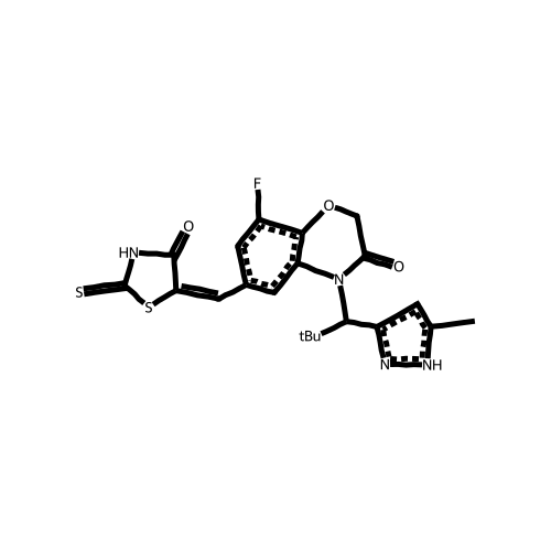 Cc1cc(C(N2C(=O)COc3c(F)cc(C=C4SC(=S)NC4=O)cc32)C(C)(C)C)n[nH]1